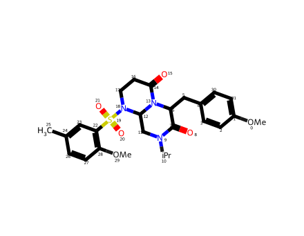 COc1ccc(CC2C(=O)N(C(C)C)CC3N2C(=O)CCN3S(=O)(=O)c2cc(C)ccc2OC)cc1